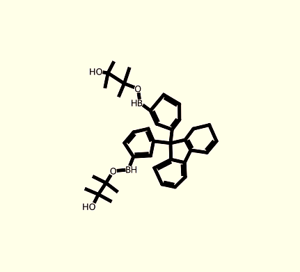 CC(C)(O)C(C)(C)OBc1cccc(C2(c3cccc(BOC(C)(C)C(C)(C)O)c3)C3=C(C=CCC3)c3ccccc32)c1